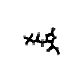 COC(=O)c1sc(Br)cc1NC(=O)OC(C)(C)C